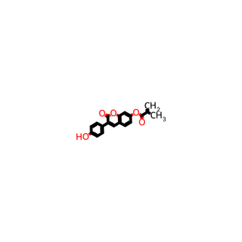 C=C(C)C(=O)Oc1ccc2cc(-c3ccc(O)cc3)c(=O)oc2c1